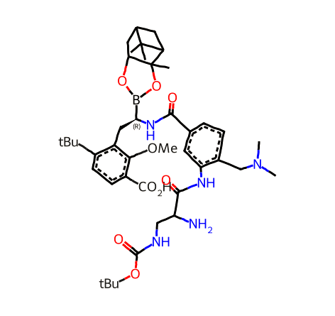 COc1c(C(=O)O)ccc(C(C)(C)C)c1C[C@H](NC(=O)c1ccc(CN(C)C)c(NC(=O)C(N)CNC(=O)OC(C)(C)C)c1)B1OC2CC3CC(C3(C)C)C2(C)O1